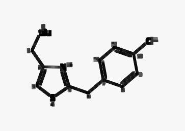 CC(C)(C)Cc1csc(Cc2ccc(Cl)cc2)n1